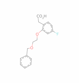 O=C(O)Cc1ccc(F)cc1OCCOCc1ccccc1